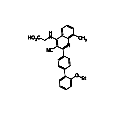 CCOc1ccccc1-c1ccc(-c2nc3c(C)cccc3c(NCC(=O)O)c2C#N)cc1